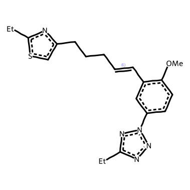 CCc1nnn(-c2ccc(OC)c(/C=C/CCCc3csc(CC)n3)c2)n1